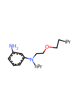 CCCN(CCOCCC(C)C)c1cccc(N)c1